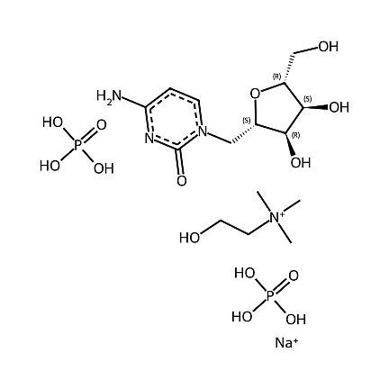 C[N+](C)(C)CCO.Nc1ccn(C[C@@H]2O[C@H](CO)[C@@H](O)[C@H]2O)c(=O)n1.O=P(O)(O)O.O=P(O)(O)O.[Na+]